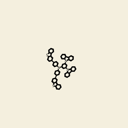 c1ccc2c(c1)sc1ccc(-c3ccc(N(c4ccc(-c5ccc6sc7ccccc7c6c5)cc4)c4cc(-n5c6ccccc6c6ccccc65)cc(-n5c6ccccc6c6ccccc65)c4)cc3)cc12